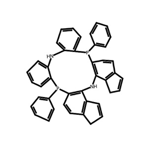 C1=Cc2c(ccc3c2Nc2c(ccc4c2CC=C4)P(c2ccccc2)c2ccccc2Nc2ccccc2P3c2ccccc2)C1